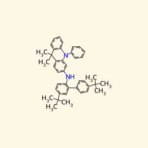 CC(C)(C)c1ccc(-c2cc(C(C)(C)C)ccc2Nc2ccc3c(c2)N(c2ccccc2)c2ccccc2C3(C)C)cc1